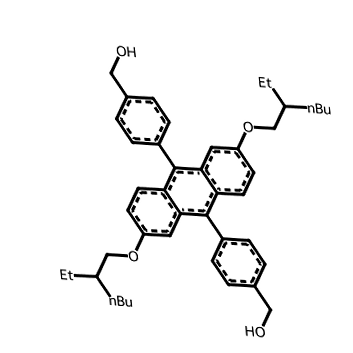 CCCCC(CC)COc1ccc2c(-c3ccc(CO)cc3)c3cc(OCC(CC)CCCC)ccc3c(-c3ccc(CO)cc3)c2c1